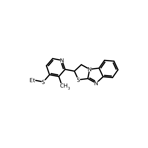 CCSc1ccnc(C2Cn3c(nc4ccccc43)S2)c1C